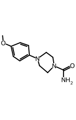 COc1ccc(N2CCN(C(N)=O)CC2)cc1